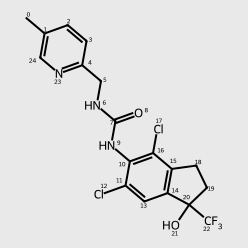 Cc1ccc(CNC(=O)Nc2c(Cl)cc3c(c2Cl)CCC3(O)C(F)(F)F)nc1